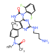 CCCN(C(=O)C(F)(F)F)c1ccc(C)c(-c2nc(NCCCN)nc3c2CNC(=O)N3c2c(F)cccc2F)c1